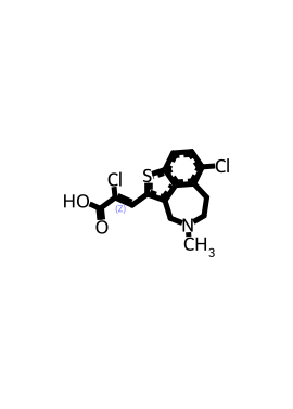 CN1CCc2c(Cl)ccc3sc(/C=C(\Cl)C(=O)O)c(c23)C1